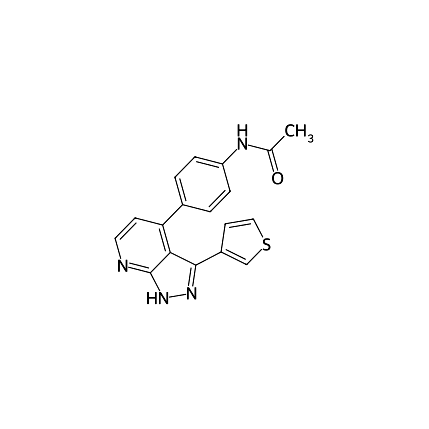 CC(=O)Nc1ccc(-c2ccnc3[nH]nc(-c4ccsc4)c23)cc1